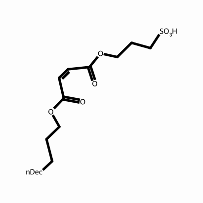 CCCCCCCCCCCCCOC(=O)/C=C\C(=O)OCCCS(=O)(=O)O